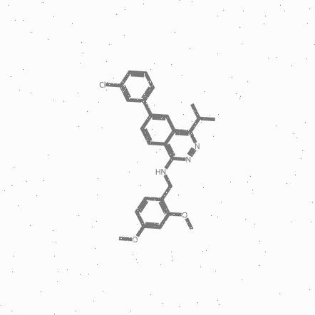 COc1ccc(CNc2nnc(C(C)C)c3cc(-c4cccc(Cl)c4)ccc23)c(OC)c1